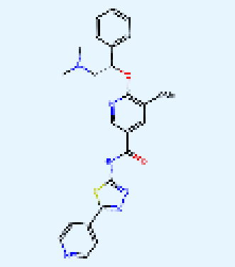 COc1cc(C(=O)Nc2nnc(-c3ccncc3)s2)cnc1O[C@H](CN(C)C)c1ccccc1